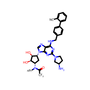 CCCN(C(=O)C(F)(F)F)[C@H]1C[C@@H](n2cnc3c(NCc4ccc(-c5ccccc5C#N)cc4)nc(N4CC[C@@H](N)C4)nc32)[C@H](O)[C@@H]1O